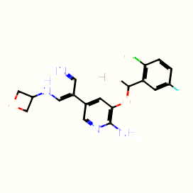 CC(Oc1cc(/C(C=N)=C/NC2COC2)cnc1N)c1cc(F)ccc1Cl